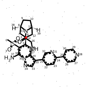 CS(=O)(=O)c1c([C@H]2C[C@H]3CC[C@@H](C2)N3C(=O)CO)nc2c(-c3ccc(-c4ccncc4)nc3)cnn2c1N